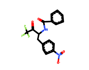 O=C(NC(Cc1ccc([N+](=O)[O-])cc1)C(=O)C(F)(F)F)c1ccccc1